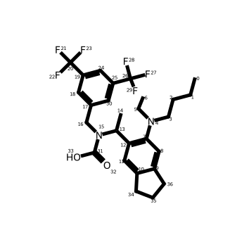 CCCCN(CC)c1cc2c(cc1C(C)N(Cc1cc(C(F)(F)F)cc(C(F)(F)F)c1)C(=O)O)CCC2